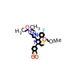 C=CC(=O)N1Cc2cc(-c3nc(-c4ccc5c(c4)CS(=O)(=O)C5)c4ccsc4c3-c3c(F)cc(F)cc3OCCOC)nn2C[C@H]1C